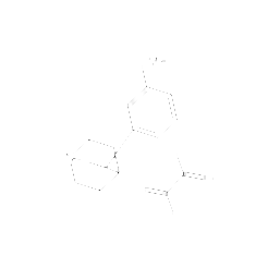 COc1cccc(C2CN3CCC2CC3)c1.O=C(O)C(=O)O